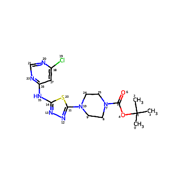 CC(C)(C)OC(=O)N1CCN(c2nnc(Nc3cc(Cl)ncn3)s2)CC1